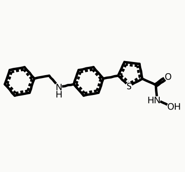 O=C(NO)c1ccc(-c2ccc(NCc3ccccc3)cc2)s1